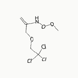 C=C(COCC(Cl)(Cl)Cl)NOOC